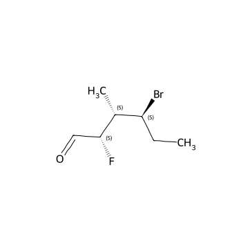 CC[C@H](Br)[C@@H](C)[C@H](F)C=O